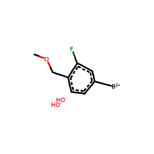 [B+2]c1ccc(COC)c(F)c1.[OH-].[OH-]